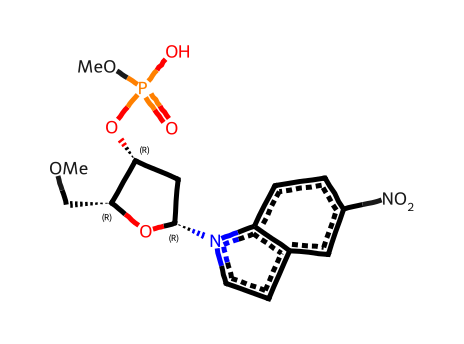 COC[C@H]1O[C@@H](n2ccc3cc([N+](=O)[O-])ccc32)C[C@H]1OP(=O)(O)OC